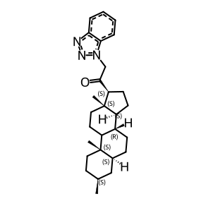 C[C@H]1CC[C@]2(C)C3CC[C@]4(C)[C@@H](C(=O)Cn5nnc6ccccc65)CC[C@H]4[C@@H]3CC[C@H]2C1